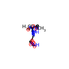 CCN(c1cc(-c2ccc(N3CCN(CCCCCCOc4cccc5c4C(=O)N(C4CCC(=O)NC4=O)C5=O)CC3)nc2)cc(C(=O)NCc2c3c(c(C)[nH]c2=O)CCCC3)c1C)C1CCOCC1